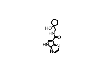 O=C(NCC1(O)CCCC1)c1c[nH]c2nccnc12